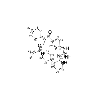 CN1CCC(N(C)C(=O)c2ccc(NC(=N)/N=c3\[nH]cccc3C3=CCN(C(=O)C4CC4)CC3)cc2)CC1